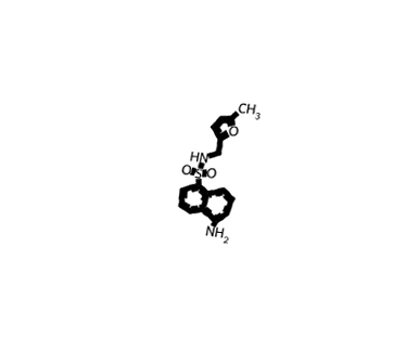 Cc1ccc(CNS(=O)(=O)c2cccc3c(N)cccc23)o1